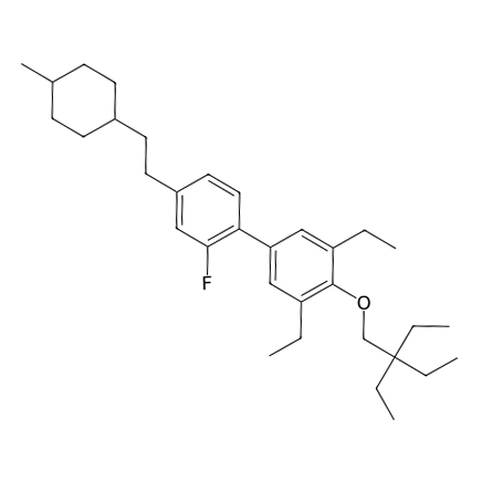 CCc1cc(-c2ccc(CCC3CCC(C)CC3)cc2F)cc(CC)c1OCC(CC)(CC)CC